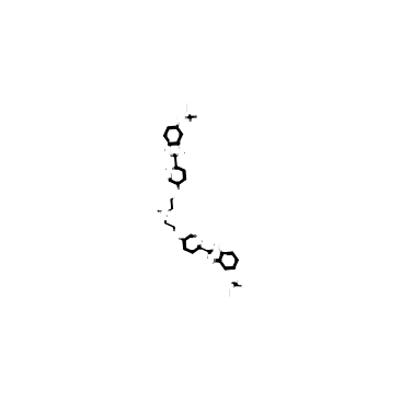 CN(CCOc1ccc(-c2nc3cc(OC(F)(F)F)ccc3[nH]2)nc1)CCOc1ccc(-c2nc3cc(OC(F)(F)F)ccc3[nH]2)nc1